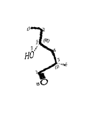 CC[C@@H](O)C[C@H](C)C=O